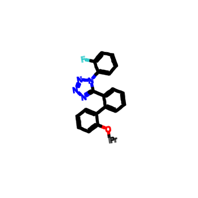 CC(C)Oc1ccccc1-c1ccccc1-c1nnnn1-c1ccccc1F